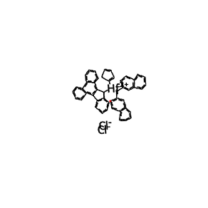 C1=CC[C]([Hf+2](=[C](c2ccc3ccccc3c2)c2ccc3ccccc3c2)[CH]2c3ccccc3-c3c2c2ccccc2c2ccccc32)=C1.[Cl-].[Cl-]